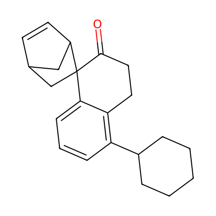 O=C1CCc2c(C3CCCCC3)cccc2C12CC1C=CC2C1